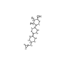 OC1CCC(C2CCC(C3CCC(CC4CC4)CC3)CC2)C(F)C1F